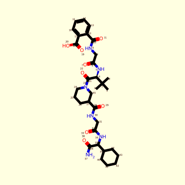 CC(C)(C)[C@H](NC(=O)CNC(=O)c1ccccc1C(=O)O)C(=O)N1CCCC(C(=O)NCC(=O)NC(C(N)=O)C2CCCCC2)C1